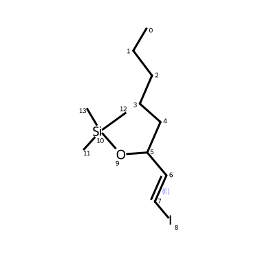 CCCCCC(/C=C/I)O[Si](C)(C)C